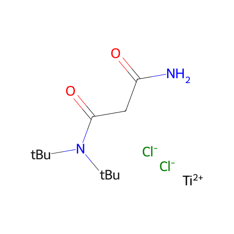 CC(C)(C)N(C(=O)CC(N)=O)C(C)(C)C.[Cl-].[Cl-].[Ti+2]